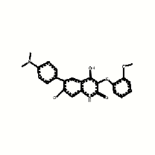 COc1ccccc1Oc1c(O)c2cc(-c3ccc(N(C)C)cc3)c(Cl)cc2[nH]c1=O